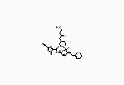 CCOC(=O)CN1CCN(C(C)(C)C(/C=C\CNC(=O)c2nc(C#N)c[nH]2)=C/CC2=CCCCC2)CC1